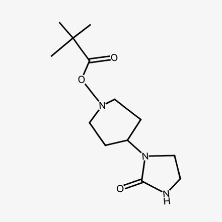 CC(C)(C)C(=O)ON1CCC(N2CCNC2=O)CC1